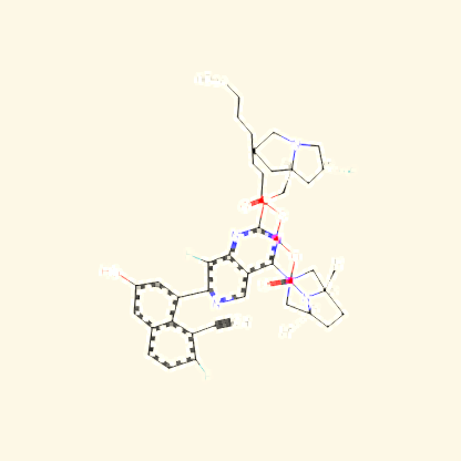 C#Cc1c(F)ccc2cc(O)cc(-c3ncc4c(N5C[C@@H]6CC[C@@H](C5)N6C(=O)OCOC(=O)CCCCCCCCCCCCCCC)nc(OC[C@@]56CCCN5C[C@H](F)C6)nc4c3F)c12